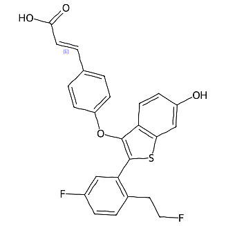 O=C(O)/C=C/c1ccc(Oc2c(-c3cc(F)ccc3CCF)sc3cc(O)ccc23)cc1